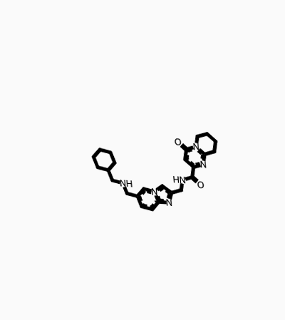 O=C(NCc1cn2cc(CNCC3CCCCC3)ccc2n1)c1cc(=O)n2c(n1)CCCC2